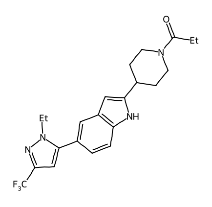 CCC(=O)N1CCC(c2cc3cc(-c4cc(C(F)(F)F)nn4CC)ccc3[nH]2)CC1